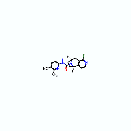 N#Cc1ccc(NC(=O)N2[C@H]3CC[C@@H]2c2ccnc(F)c2C3)nc1C(F)(F)F